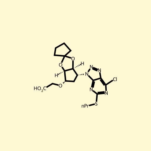 CCCSc1nc(Cl)c2nnn([C@@H]3C[C@H](OCC(=O)O)[C@H]4OC5(CCCC5)O[C@H]43)c2n1